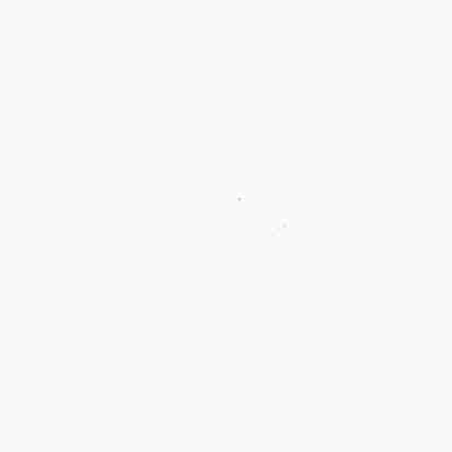 CCCCCOc1ccc(O)cc1.COCCCCOc1ccccc1